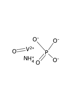 O=P([O-])([O-])[O-].[NH4+].[O]=[V+2]